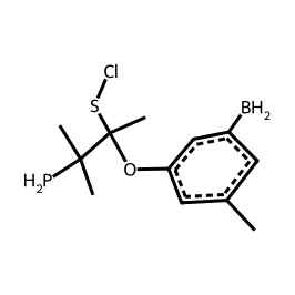 Bc1cc(C)cc(OC(C)(SCl)C(C)(C)P)c1